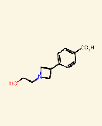 O=C(O)c1ccc(C2CN(CCO)C2)cc1